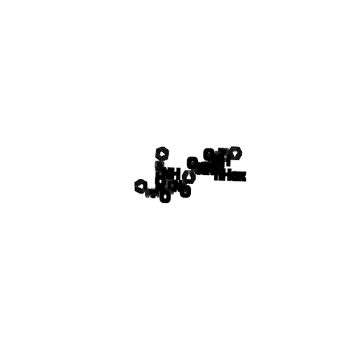 CCCCCCC(=O)N[C@@H](CNC(=O)c1ccc(C(=O)N2C[C@@H](C(=O)N[C@H]3C[C@@H]3c3ccccc3)[C@H](C(=O)N[C@H]3C[C@@H]3c3ccccc3)C2)cc1)C(=O)N[C@H]1C[C@@H]1c1ccccc1